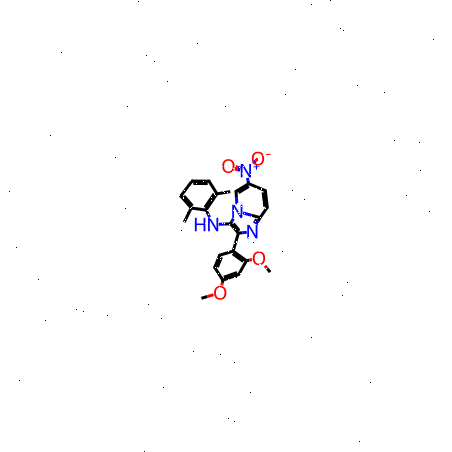 COc1ccc(-c2nc3ccc([N+](=O)[O-])cn3c2Nc2c(C)cccc2C)c(OC)c1